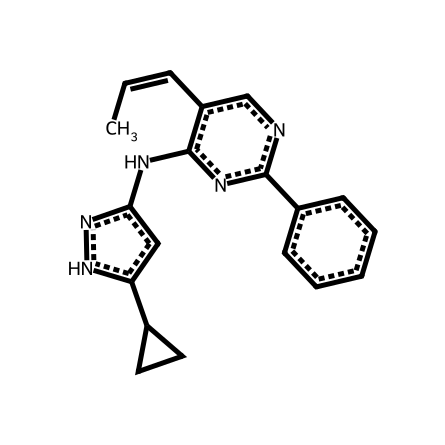 C/C=C\c1cnc(-c2ccccc2)nc1Nc1cc(C2CC2)[nH]n1